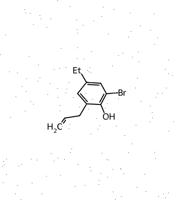 C=CCc1cc(CC)cc(Br)c1O